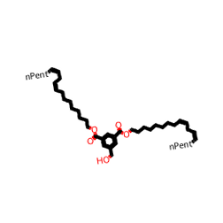 CCCCC/C=C\C/C=C\CCCCCCCCOC(=O)c1cc(CO)cc(C(=O)OCCCCCCCC/C=C\C/C=C\CCCCC)c1